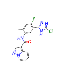 Cc1cc(F)c(-c2nnc(Cl)[nH]2)cc1NC(=O)c1cnn2ccccc12